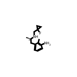 Cc1c(N)cccc1C[C@@H](C)NCC1(F)CC1